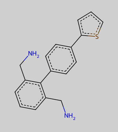 NCc1cccc(CN)c1-c1ccc(-c2cccs2)cc1